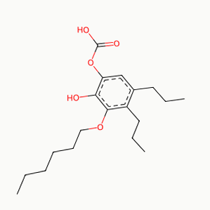 CCCCCCOc1c(O)c(OC(=O)O)cc(CCC)c1CCC